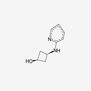 O[C@H]1C[C@@H](Nc2ccccn2)C1